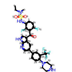 CCN(C)S(=O)(=O)Nc1ccc(F)c(C(=O)c2c[nH]c3ncc(-c4ccc(N5CCNCC5)c(C(F)(F)F)c4)cc23)c1F